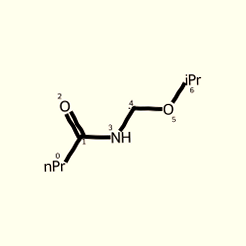 CCCC(=O)N[CH]OC(C)C